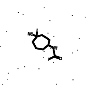 N#CC1(I)CCCC(NC(=O)I)CC1